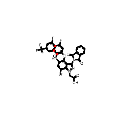 O=C(O)Cn1nc(N2C(=O)c3ccccc3C2=O)c2c(Oc3cc(F)ccc3Cl)c(NC(=O)c3cc(F)cc(C(F)(F)F)c3)cc(Br)c21